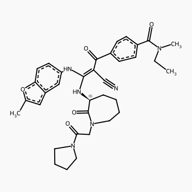 CCN(C)C(=O)c1ccc(C(=O)C(C#N)=C(Nc2ccc3oc(C)cc3c2)N[C@H]2CCCCN(CC(=O)N3CCCC3)C2=O)cc1